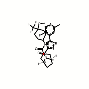 COC1(C(F)(F)F)CCC(NC(=O)C2C[C@H]3CC[C@@H](C2)N3C(=O)c2cc(-c3cc(C)ncc3F)[nH]n2)CC1